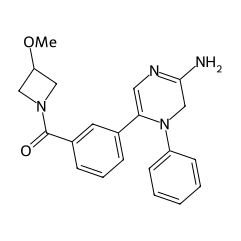 COC1CN(C(=O)c2cccc(C3=CN=C(N)CN3c3ccccc3)c2)C1